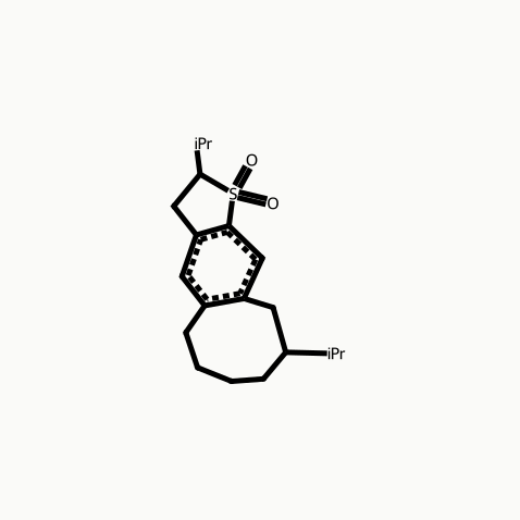 CC(C)C1CCCCc2cc3c(cc2C1)S(=O)(=O)C(C(C)C)C3